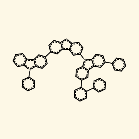 c1ccc(-c2ccc3c(c2)c2cc(-c4ccccc4-c4ccccn4)ccc2n3-c2ccc3sc4ccc(-c5ccc6c(c5)c5ccccc5n6-c5ccccc5)cc4c3c2)cc1